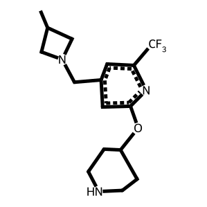 CC1CN(Cc2cc(OC3CCNCC3)nc(C(F)(F)F)c2)C1